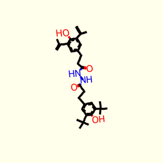 C=C(C)c1cc(CCC(=O)NNC(=O)CCc2cc(C(C)(C)C)c(O)c(C(C)(C)C)c2)cc(C(=C)C)c1O